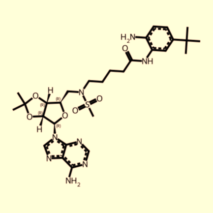 CC1(C)O[C@@H]2[C@H](O1)[C@@H](CN(CCCCC(=O)Nc1cc(C(C)(C)C)ccc1N)S(C)(=O)=O)O[C@H]2n1cnc2c(N)ncnc21